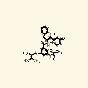 CC(C)C(C)COc1cc(C(=O)NC(Cc2ccccc2)[C@H](O)C2CC(=O)CCN2)cc(N(C)S(C)(=O)=O)c1